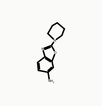 Nc1ccc2nc(N3CCCCC3)oc2c1